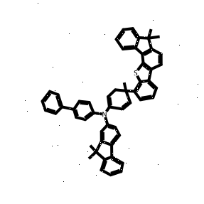 CC1(c2cccc3c2sc2c4c(ccc23)C(C)(C)c2ccccc2-4)C=CC(N(c2ccc(-c3ccccc3)cc2)c2ccc3c(c2)C(C)(C)c2ccccc2-3)=CC1